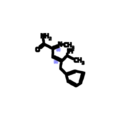 C/N=C(\C=C(\Cc1ccccc1)C(C)C(C)C)C(N)=O